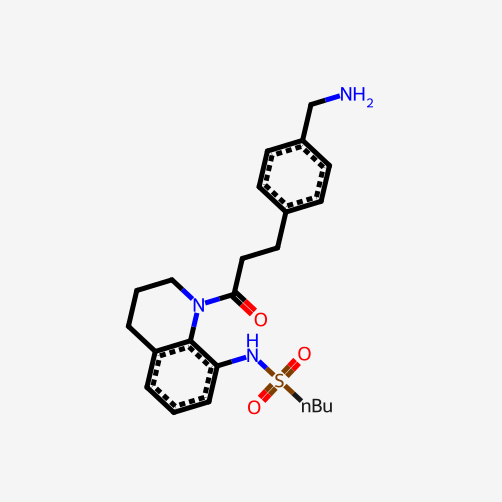 CCCCS(=O)(=O)Nc1cccc2c1N(C(=O)CCc1ccc(CN)cc1)CCC2